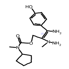 CN(N)/C(COC(=O)N(C)C1CCCC1)=C(\N)c1ccc(O)cc1